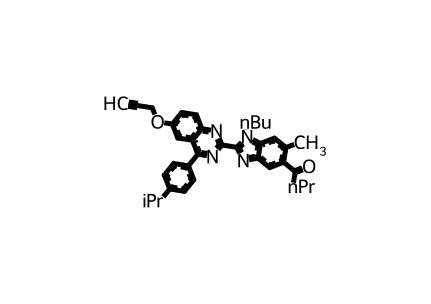 C#CCOc1ccc2nc(-c3nc4cc(C(=O)CCC)c(C)cc4n3CCCC)nc(-c3ccc(C(C)C)cc3)c2c1